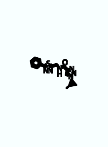 C[C@@H]1C[C@H]1n1cc(C(=O)NCc2nnc(-c3ccccc3)s2)nn1